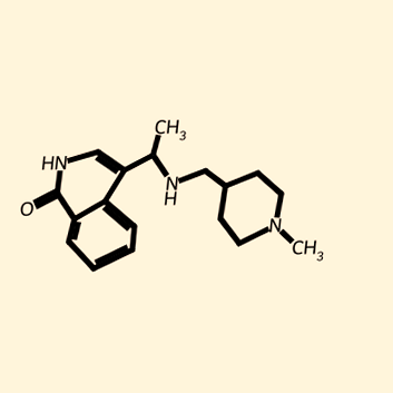 CC(NCC1CCN(C)CC1)c1c[nH]c(=O)c2ccccc12